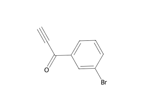 C#CC(=O)c1cccc(Br)c1